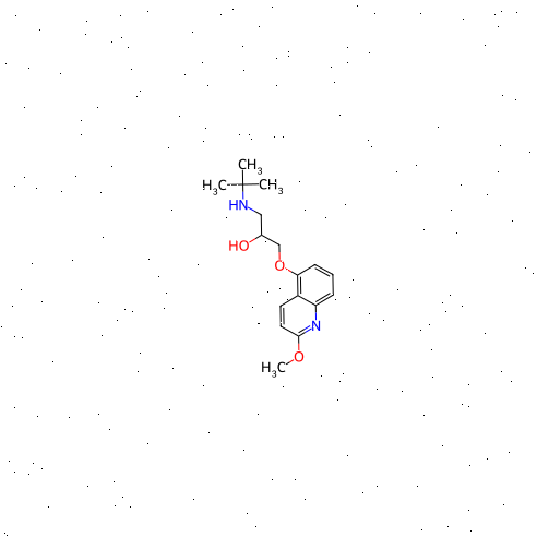 COc1ccc2c(OCC(O)CNC(C)(C)C)cccc2n1